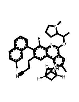 Cc1cc2c(OC(C)C3CCCN3C)nc3c(F)c(-c4cccc5ccc(F)cc45)c(CCC#N)cc3c2n1[C@H]1[C@H]2CN[C@@H]1C2